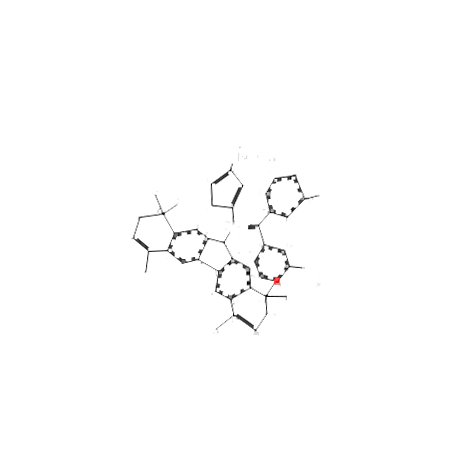 CC1=CCC(C)(C)c2cc3c(cc21)-c1cc2c(cc1[CH]3[Zr+2]([C]1=CC(C(C)(C)C)=CC1)=[C](c1cccc(Cl)c1)c1cccc(Cl)c1)C(C)(C)CC=C2C.[Cl-].[Cl-]